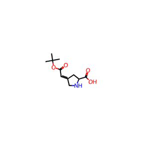 CC(C)(C)OC(=O)C=C1CNC(C(=O)O)C1